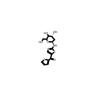 O=C(c1cccs1)c1cnc(N[C@@H]2C[C@@H](O)C(O)C(CO)O2)s1